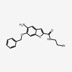 CC(C)CCNC(=O)c1cc2cc(N)c(OCc3ccccc3)cc2s1